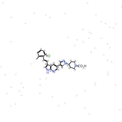 Cc1cccc(Cl)c1/C=C/c1c[nH]c2ncc(-c3cnn(C4CCN(C(=O)O)CC4)c3)cc12